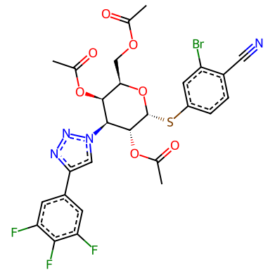 CC(=O)OC[C@H]1O[C@H](Sc2ccc(C#N)c(Br)c2)[C@H](OC(C)=O)[C@@H](n2cc(-c3cc(F)c(F)c(F)c3)nn2)[C@H]1OC(C)=O